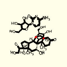 C[C@]12CCC(=O)C=C1CC[C@H]1[C@@H]3CC[C@](O)(C(=O)CO)[C@@]3(C)C[C@H](O)[C@@]12[C@H]1O[C@@H](CO)[C@H](O)[C@H]1O.Nc1ccn(C2OC(CO)C(O)C2O)c(=O)n1